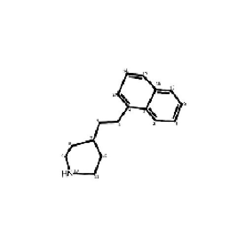 c1ccc2c(CCC3CCNCC3)cccc2c1